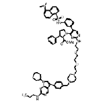 COC(=O)C1C(c2ccccc2)CCN1c1nc(NCCOCCOCCN2CCN(Cc3ccc(-c4cn(C5CCCCC5)c5nc(NCCC(F)(F)F)ncc45)cc3)CC2)ncc1-c1cccc(NS(=O)(=O)c2cccc3c(N(C)C)cccc23)c1